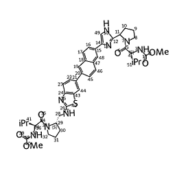 COC(=O)N[C@H](C(=O)N1CCCC1c1nc(-c2ccc3cc(-c4ccc5nc(NC[C@@H]6CCCN6C(=O)[C@@H](NC(=O)OC)C(C)C)sc5c4)ccc3c2)c[nH]1)C(C)C